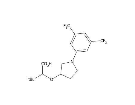 CC(C)(C)C(OC1CCN(c2cc(C(F)(F)F)cc(C(F)(F)F)c2)C1)C(=O)O